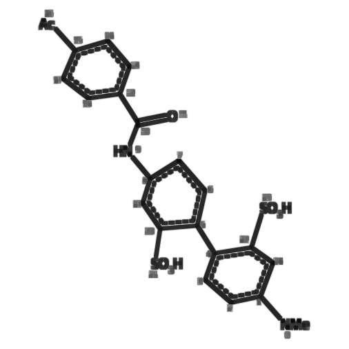 CNc1ccc(-c2ccc(NC(=O)c3ccc(C(C)=O)cc3)cc2S(=O)(=O)O)c(S(=O)(=O)O)c1